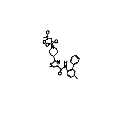 Cc1ccc(NC(=O)c2csc(C3CCN(S(=O)(=O)CS(C)(=O)=O)CC3)n2)c(-c2ccccc2)c1